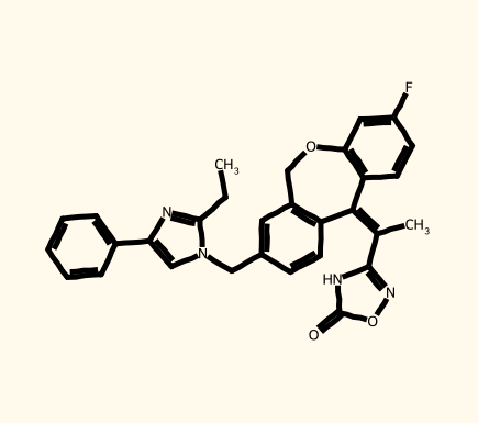 CCc1nc(-c2ccccc2)cn1Cc1ccc2c(c1)COc1cc(F)ccc1/C2=C(\C)c1noc(=O)[nH]1